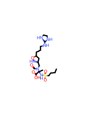 CCCCS(=O)(=O)NC(C)(C(=O)O)N(C=O)CC1CC(CCCNC2NCCN2)ON1